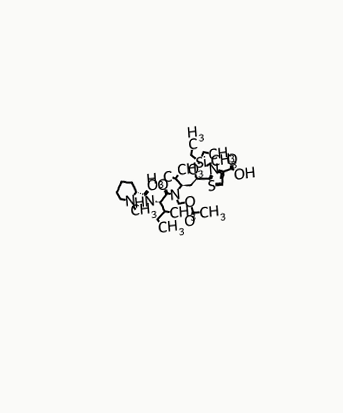 CCC(C)[C@H](NC(=O)[C@H]1CCCCN1C)C(=O)N(COC(C)=O)[C@H](C[C@@H](O[Si](CC)(CC)CC)c1nc(C(=O)O)cs1)C(C)C